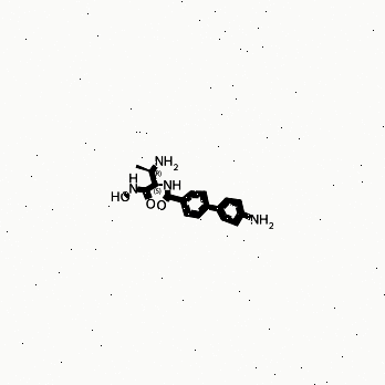 C[C@@H](N)[C@H](NC(=O)c1ccc(-c2ccc(N)cc2)cc1)C(=O)NO